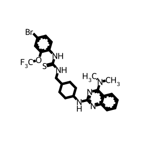 CN(C)c1nc(NC2CCC(CNC(=S)Nc3ccc(Br)cc3OC(F)(F)F)CC2)nc2ccccc12